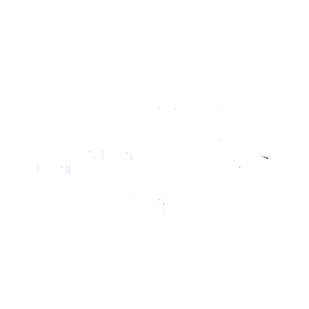 CCNC(=O)Nc1ccccc1N/C(=C1\C(=O)Nc2ccc(C(=O)N[C@H](C)c3ccccc3)cc21)c1ccccc1